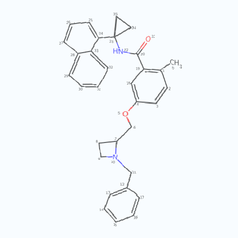 Cc1ccc(OCC2CCN2Cc2ccccc2)cc1C(=O)NC1(c2cccc3ccccc23)CC1